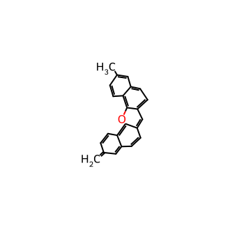 C=c1ccc2c3c(ccc2c1)=Cc1ccc2cc(C)ccc2c1O3